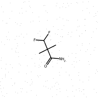 CC(C)(C(N)=O)C(F)F